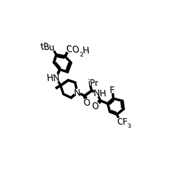 CC(C)C(NC(=O)c1cc(C(F)(F)F)ccc1F)C(=O)N1CCC(C)(Nc2ccc(C(=O)O)c(C(C)(C)C)c2)CC1